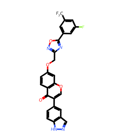 O=c1c(-c2ccc3[nH]ncc3c2)coc2cc(OCc3noc(-c4cc(F)cc(C(F)(F)F)c4)n3)ccc12